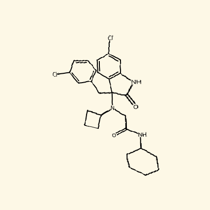 O=C(CN(C1CCC1)C1(Cc2cccc(Cl)c2)C(=O)Nc2cc(Cl)ccc21)NC1CCCCC1